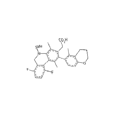 CSN1Cc2c(F)ccc(F)c2-c2c(C)c(-c3ccc4c(c3C)CCCO4)c(CC(=O)O)c(C)c21